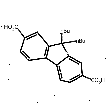 CCCCC1(CCCC)c2cc(C(=O)O)ccc2-c2ccc(C(=O)O)cc21